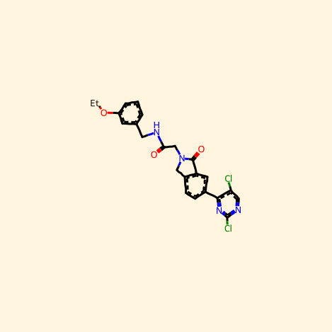 CCOc1cccc(CNC(=O)CN2Cc3ccc(-c4nc(Cl)ncc4Cl)cc3C2=O)c1